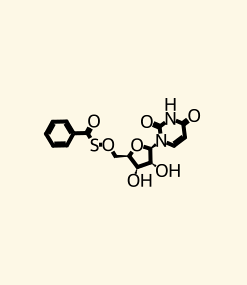 O=C(SOC[C@H]1O[C@@H](n2ccc(=O)[nH]c2=O)[C@H](O)[C@@H]1O)c1ccccc1